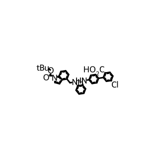 CC(C)(C)OC(=O)n1ccc2c(CNc3ccccc3Nc3ccc(-c4cc(Cl)ccc4C(=O)O)cc3)cccc21